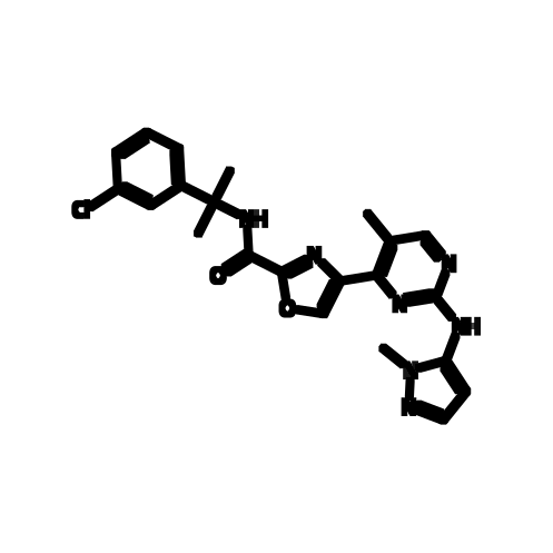 Cc1cnc(Nc2ccnn2C)nc1-c1coc(C(=O)NC(C)(C)c2cccc(Cl)c2)n1